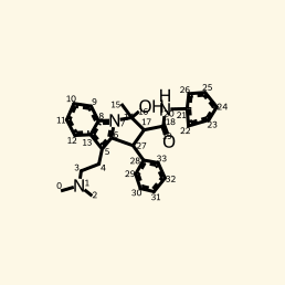 CN(C)CCc1c2n(c3ccccc13)C(C)(O)C(C(=O)Nc1ccccc1)C2c1ccccc1